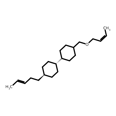 C/C=C\COCC1CCC([C@H]2CC[C@H](CC/C=C/C)CC2)CC1